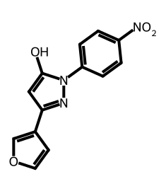 O=[N+]([O-])c1ccc(-n2nc(-c3ccoc3)cc2O)cc1